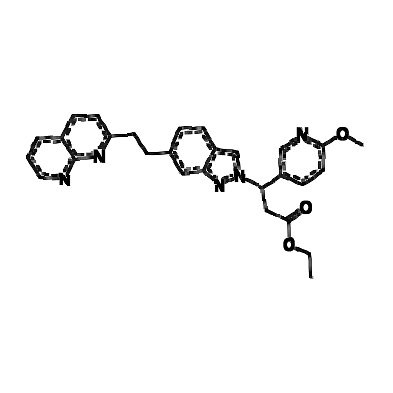 CCOC(=O)CC(c1ccc(OC)nc1)n1cc2ccc(CCc3ccc4cccnc4n3)cc2n1